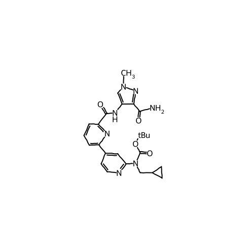 Cn1cc(NC(=O)c2cccc(-c3ccnc(N(CC4CC4)C(=O)OC(C)(C)C)c3)n2)c(C(N)=O)n1